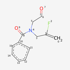 C=C(F)CN(CC=O)C(=O)c1ccccc1